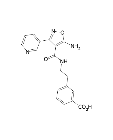 Nc1onc(-c2cccnc2)c1C(=O)NCCc1cccc(C(=O)O)c1